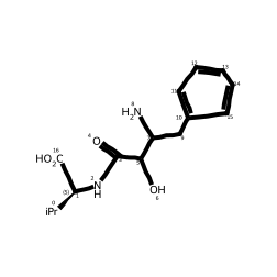 CC(C)[C@H](NC(=O)C(O)C(N)Cc1ccccc1)C(=O)O